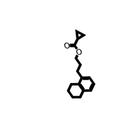 O=C(OCCCc1cccc2c1CCCC2)C1CC1